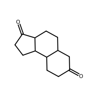 O=C1CCC2C(CCC3C(=O)CCC32)C1